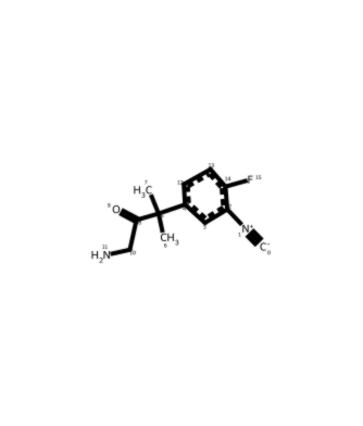 [C-]#[N+]c1cc(C(C)(C)C(=O)CN)ccc1F